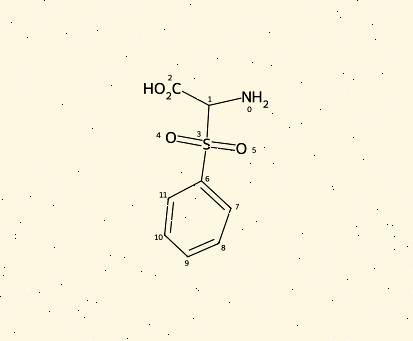 NC(C(=O)O)S(=O)(=O)c1ccccc1